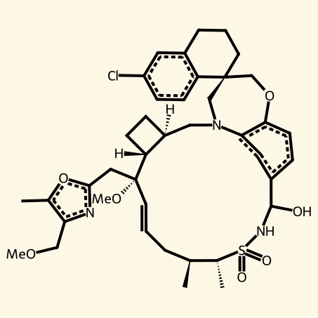 COCc1nc(C[C@]2(OC)/C=C/C[C@H](C)[C@@H](C)S(=O)(=O)NC(O)c3ccc4c(c3)N(C[C@@H]3CC[C@H]32)C[C@@]2(CCCc3cc(Cl)ccc32)CO4)oc1C